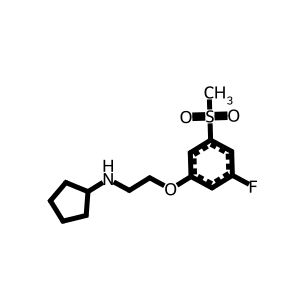 CS(=O)(=O)c1cc(F)cc(OCCNC2CCCC2)c1